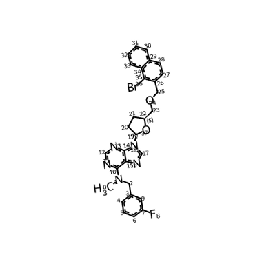 CN(Cc1cccc(F)c1)c1ncnc2c1ncn2[C@H]1CC[C@@H](COCc2ccc3ccccc3c2Br)O1